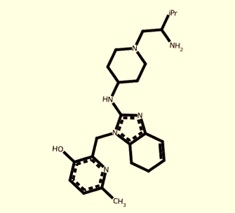 Cc1ccc(O)c(Cn2c(NC3CCN(CC(N)C(C)C)CC3)nc3c2CCC=C3)n1